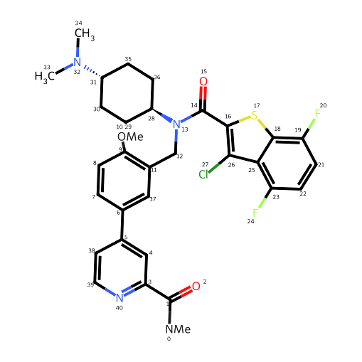 CNC(=O)c1cc(-c2ccc(OC)c(CN(C(=O)c3sc4c(F)ccc(F)c4c3Cl)[C@H]3CC[C@H](N(C)C)CC3)c2)ccn1